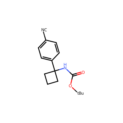 [C-]#[N+]c1ccc(C2(NC(=O)OC(C)(C)C)CCC2)cc1